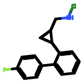 Fc1ccc(-c2ccccc2C2CC2CNCl)cc1